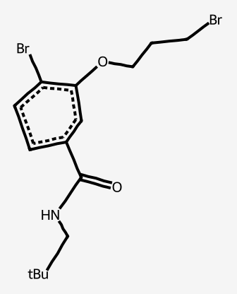 CC(C)(C)CNC(=O)c1ccc(Br)c(OCCCBr)c1